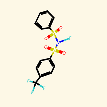 O=S(=O)(c1ccccc1)N(F)S(=O)(=O)c1ccc(C(F)(F)F)cc1